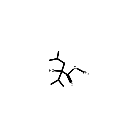 CC(C)CC(O)(C(=O)OP)C(C)C